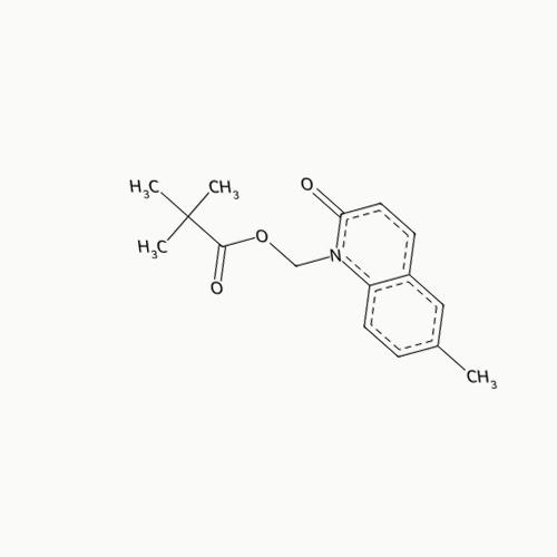 Cc1ccc2c(ccc(=O)n2COC(=O)C(C)(C)C)c1